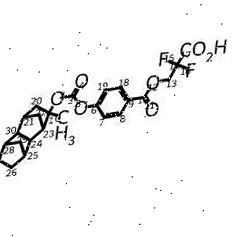 CC1(OC(=O)Oc2ccc(C(=O)OCC(F)(F)C(=O)O)cc2)CC2CC1C1C3CCC(C3)C21